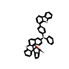 c1ccc(N(c2ccc(-c3cccc4c3oc3ccccc34)cc2)c2ccc3c4c(ccc3c2)Sc2ccccc2C42c3ccccc3-c3ccccc32)cc1